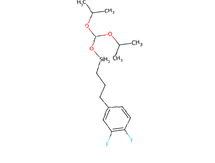 CC(C)OC(O[SiH2]CCCc1ccc(F)c(F)c1)OC(C)C